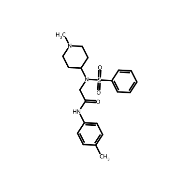 Cc1ccc(NC(=O)CN(C2CCN(C)CC2)S(=O)(=O)c2ccccc2)cc1